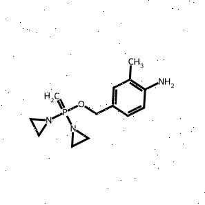 C=P(OCc1ccc(N)c(C)c1)(N1CC1)N1CC1